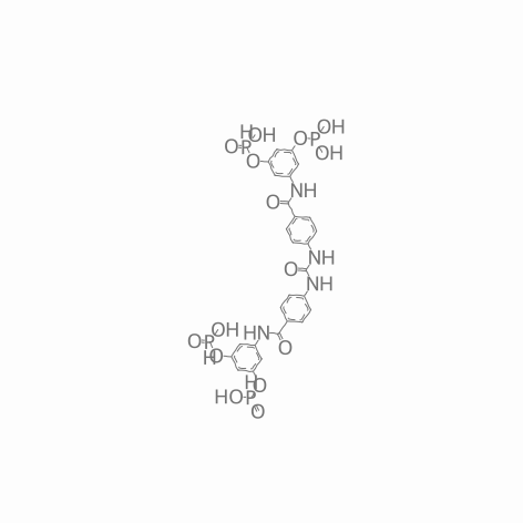 O=C(Nc1ccc(C(=O)Nc2cc(OP(O)O)cc(O[PH](=O)O)c2)cc1)Nc1ccc(C(=O)Nc2cc(O[PH](=O)O)cc(O[PH](=O)O)c2)cc1